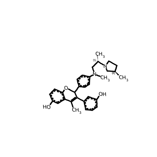 CC1=C(c2cccc(O)c2)C(c2ccc(N(C)C[C@H](C)N3CC[C@@H](C)C3)cc2)Oc2ccc(O)cc21